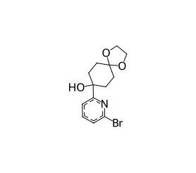 OC1(c2cccc(Br)n2)CCC2(CC1)OCCO2